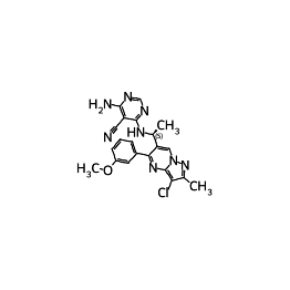 COc1cccc(-c2nc3c(Cl)c(C)nn3cc2[C@H](C)Nc2ncnc(N)c2C#N)c1